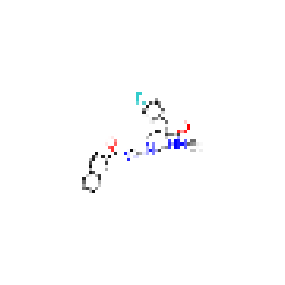 CCNC(=O)C1(Cc2ccc(F)cc2)CCN(CCNC(=O)c2ccc3ccccc3c2)CC1